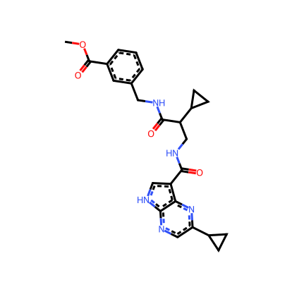 COC(=O)c1cccc(CNC(=O)C(CNC(=O)c2c[nH]c3ncc(C4CC4)nc23)C2CC2)c1